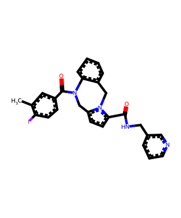 Cc1cc(C(=O)N2Cc3ccc(C(=O)NCc4cccnc4)n3Cc3ccccc32)ccc1I